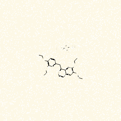 CCOc1ccc(Cc2nccc3cc(OCC)c(OCC)cc23)cc1OCC.NS(=O)(=O)O